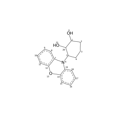 OC1CCCC(N2c3ccccc3Oc3ccccc32)C1O